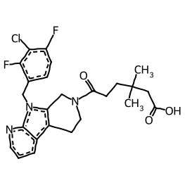 CC(C)(CCC(=O)N1CCc2c(n(Cc3ccc(F)c(Cl)c3F)c3ncccc23)C1)CC(=O)O